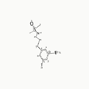 CS(C)(=O)=NCCCc1cc(F)cc(F)c1